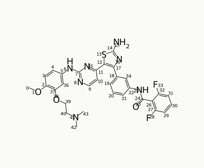 COc1ccc(Nc2nccc(-c3sc(N)nc3-c3cccc(NC(=O)c4c(F)cccc4F)c3)n2)cc1OCCN(C)C